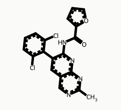 Cc1ncc2cc(-c3c(Cl)cccc3Cl)c(NC(=O)c3ccco3)nc2n1